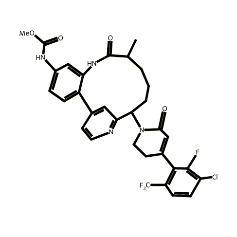 COC(=O)Nc1ccc2c(c1)NC(=O)C(C)CCCC(N1CCC(c3c(C(F)(F)F)ccc(Cl)c3F)=CC1=O)c1cc-2ccn1